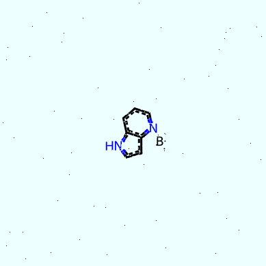 [B].c1cnc2cc[nH]c2c1